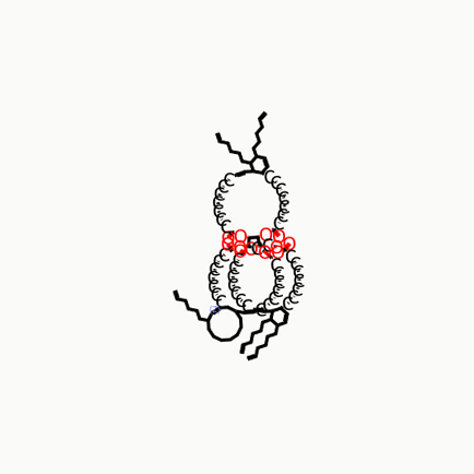 C=CCCCCC1/C=C\C2CCCCCCCC(=O)OC(C3OC(=O)CCCCCCCC=CC4C(C=CC(CCCCC=C)C4CCCCC=C)CCCCCCCC(=O)OC3C3COC(=O)CCCCCCCC4C=CC(CCCCC=C)C(CCCCC=C)C4C=CCCCCCCCC(=O)O3)COC(=O)CCCCCCCC=CC2CCCCCCC1